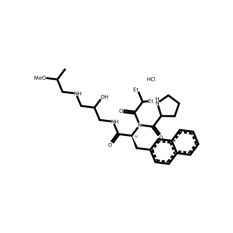 CCC(CC)C(=O)N(C(=O)C1CCCN1)[C@@H](Cc1ccc2ccccc2c1)C(=O)NCC(O)CNCC(C)OC.Cl